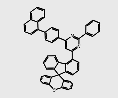 c1ccc(-c2nc(-c3ccc(-c4cccc5ccccc45)cc3)cc(-c3cccc4c3-c3ccccc3C43c4ccccc4Sc4ccccc43)n2)cc1